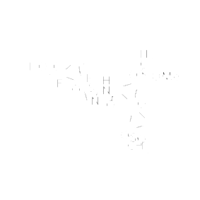 COC[C@H](C)Oc1cc(Oc2ccc(S(C)(=O)=O)cc2)cc(C(=O)Nc2ncc(Oc3c(F)c(F)cc(C(=O)O)c3F)s2)c1